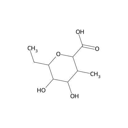 CCC1OC(C(=O)O)C(C)C(O)C1O